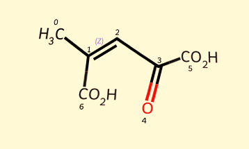 C/C(=C/C(=O)C(=O)O)C(=O)O